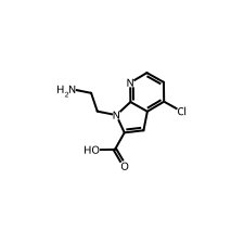 NCCn1c(C(=O)O)cc2c(Cl)ccnc21